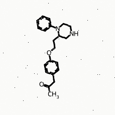 CC(=O)Cc1ccc(OCCC2CNCCN2c2ccccc2)cc1